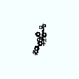 [2H]C(c1ccc(-c2ccc3c(cnn3C)c2)cc1F)N(C(=O)c1ccccc1)c1cccc(/C=C/C(=O)OC)c1